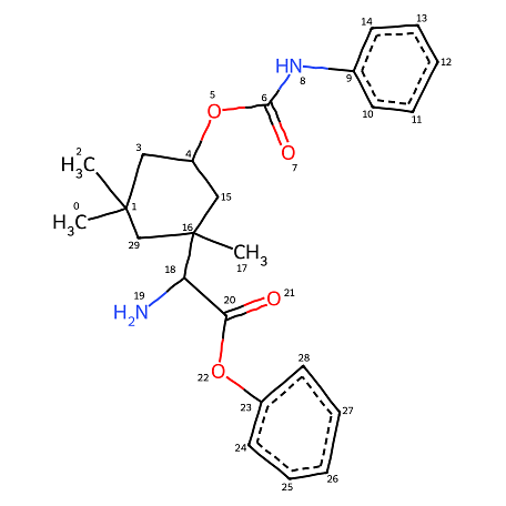 CC1(C)CC(OC(=O)Nc2ccccc2)CC(C)(C(N)C(=O)Oc2ccccc2)C1